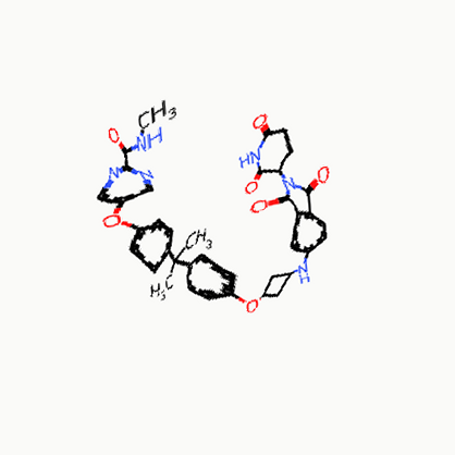 CNC(=O)c1ncc(Oc2ccc(C(C)(C)c3ccc(O[C@H]4C[C@H](Nc5ccc6c(c5)C(=O)N(C5CCC(=O)NC5=O)C6=O)C4)cc3)cc2)cn1